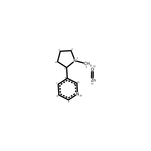 CN1CCCC1c1cccnc1.[O]=[Zn]